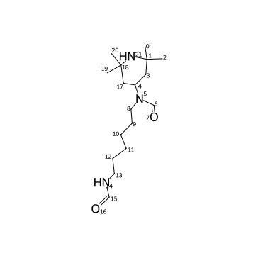 CC1(C)CC(N(C=O)CCCCCCNC=O)CC(C)(C)N1